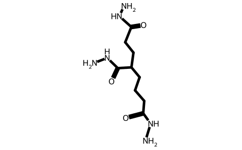 NNC(=O)CCCC(CCC(=O)NN)C(=O)NN